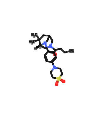 CC1(C)CC2CN(C(=O)CCC#N)C[C@H]1N(c1ccc(N3CCS(=O)(=O)CC3)cc1)C2